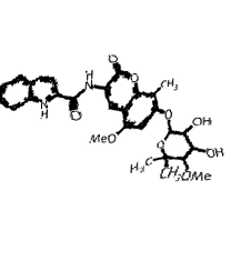 COc1cc(OC2OC(C)(C)C(OC)C(O)C2O)c(C)c2oc(=O)c(NC(=O)c3cc4ccccc4[nH]3)cc12